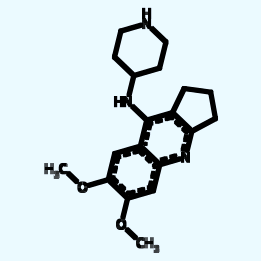 COc1cc2nc3c(c(NC4CCNCC4)c2cc1OC)CCC3